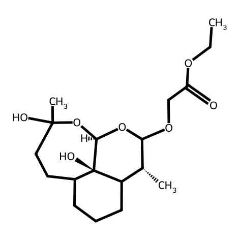 CCOC(=O)COC1O[C@@H]2OC(C)(O)CCC3CCCC([C@H]1C)[C@]32O